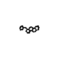 C1=c2ccccc2=c2ccc3c(c2C1)CCCC=3Cc1ccccc1